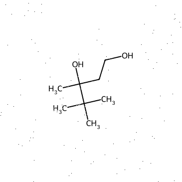 CC(C)(C)C(C)(O)CCO